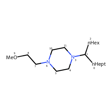 CCCCCCCC(CCCCCC)N1CCN(CCOC)CC1